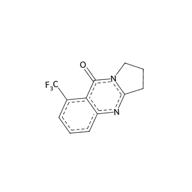 O=c1c2c(C(F)(F)F)cccc2nc2n1CCC2